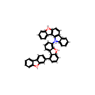 c1ccc2c(c1)oc1cc(-c3cccc4oc5c(-n6c7ccccc7c7ccc8oc9ccccc9c8c76)cccc5c34)ccc12